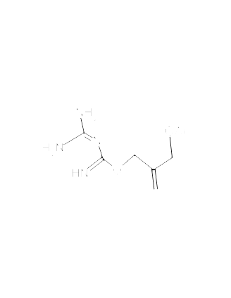 C=C(COC(=N)N=C(N)N)COC(C)=O